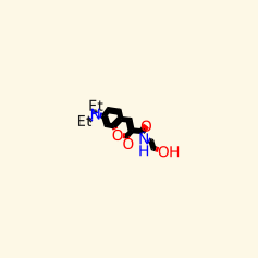 CCN(CC)c1ccc2cc(C(=O)NCCO)c(=O)oc2c1